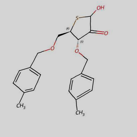 Cc1ccc(COC[C@H]2SC(O)C(=O)[C@@H]2OCc2ccc(C)cc2)cc1